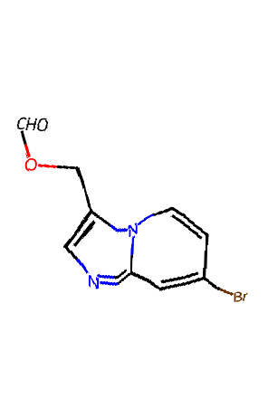 O=COCc1cnc2cc(Br)ccn12